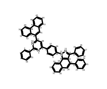 c1ccc(-c2nc(-c3ccc(-n4nc(-c5ccccc5)c5c(-c6ccccc6)cc6ccccc6c54)cc3)cc(-c3cc4ccccc4c4ccccc34)n2)cc1